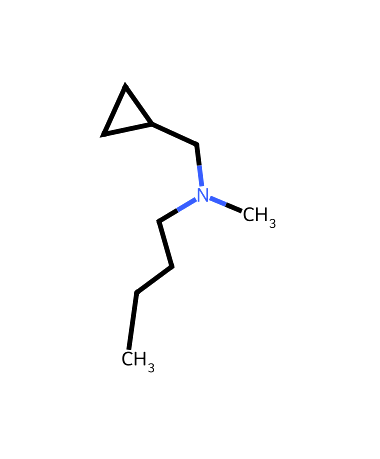 CCCCN(C)CC1CC1